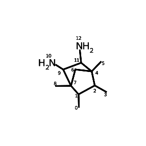 CC1C(C)C2(C)CC1(C)C(N)C2N